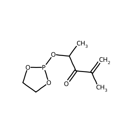 C=C(C)C(=O)C(C)OP1OCCO1